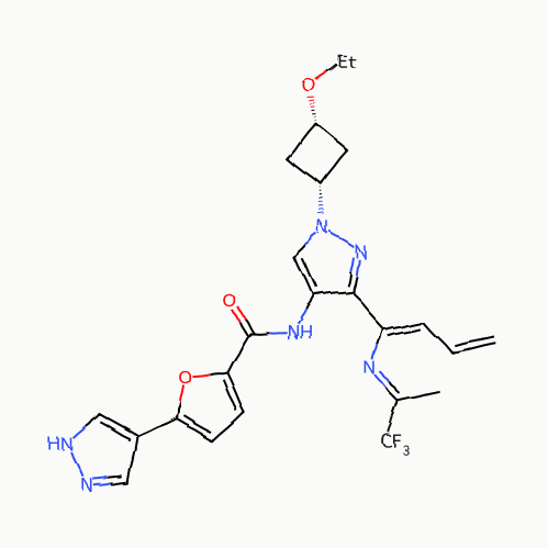 C=C/C=C(\N=C(/C)C(F)(F)F)c1nn([C@H]2C[C@@H](OCC)C2)cc1NC(=O)c1ccc(-c2cn[nH]c2)o1